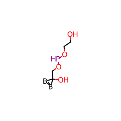 OCCOPOCC1(O)B=B1